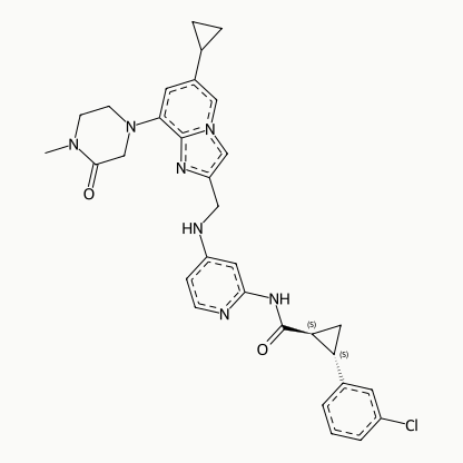 CN1CCN(c2cc(C3CC3)cn3cc(CNc4ccnc(NC(=O)[C@H]5C[C@@H]5c5cccc(Cl)c5)c4)nc23)CC1=O